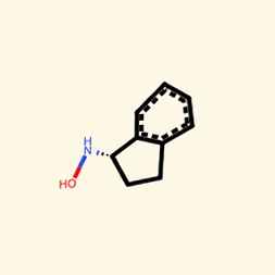 ON[C@H]1CCc2ccccc21